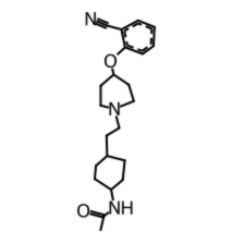 CC(=O)NC1CCC(CCN2CCC(Oc3ccccc3C#N)CC2)CC1